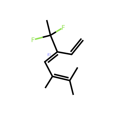 C=C/C(=C\C(C)=C(C)C)C(C)(F)F